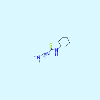 CN(C)/C=N/C(=S)NC1CCCCC1